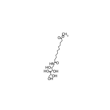 COC(=O)CCCCCCCCCCC(=O)NCC(O)C(O)[C@H](O)C(O)CO